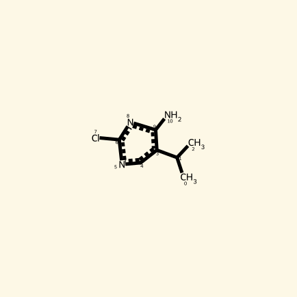 CC(C)c1cnc(Cl)nc1N